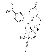 CC#C[C@]1(O)C=C[C@H]2[C@@H]3CCC4=CC(=O)CCC4=C3[C@@H](c3ccc(C(=O)CC)cc3)C[C@@]21C